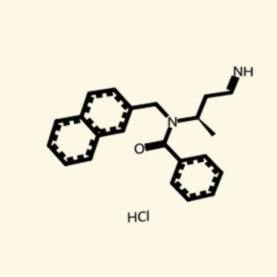 C[C@H](CC=N)N(Cc1ccc2ccccc2c1)C(=O)c1ccccc1.Cl